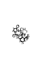 CCN1C(=O)CC[C@H]1C(=O)NCc1cccc(C(F)(F)F)c1C#N